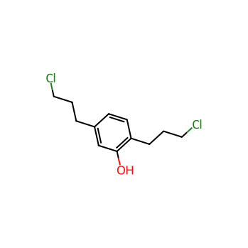 Oc1cc(CCCCl)ccc1CCCCl